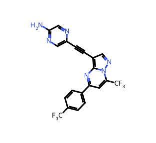 Nc1cnc(C#Cc2cnn3c(C(F)(F)F)cc(-c4ccc(C(F)(F)F)cc4)nc23)cn1